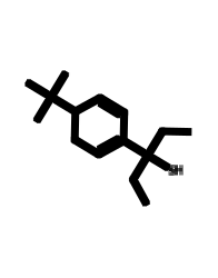 CCC(S)(CC)C1=CCC(C(C)(C)C)C=C1